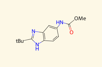 COC(=O)Nc1ccc2[nH]c(C(C)(C)C)nc2c1